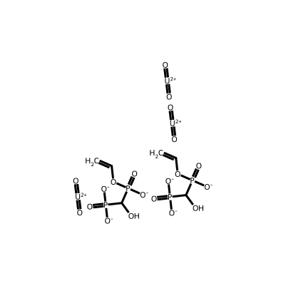 C=COP(=O)([O-])C(O)P(=O)([O-])[O-].C=COP(=O)([O-])C(O)P(=O)([O-])[O-].[O]=[U+2]=[O].[O]=[U+2]=[O].[O]=[U+2]=[O]